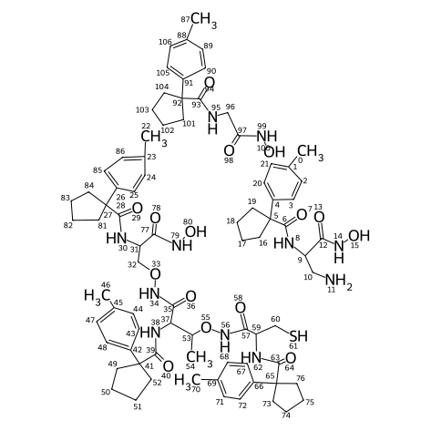 Cc1ccc(C2(C(=O)NC(CN)C(=O)NO)CCCC2)cc1.Cc1ccc(C2(C(=O)NC(CONC(=O)C(NC(=O)C3(c4ccc(C)cc4)CCCC3)C(C)ONC(=O)C(CS)NC(=O)C3(c4ccc(C)cc4)CCCC3)C(=O)NO)CCCC2)cc1.Cc1ccc(C2(C(=O)NCC(=O)NO)CCCC2)cc1